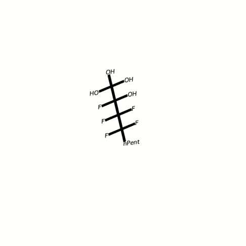 CCCCCC(F)(F)C(F)(F)C(O)(F)C(O)(O)O